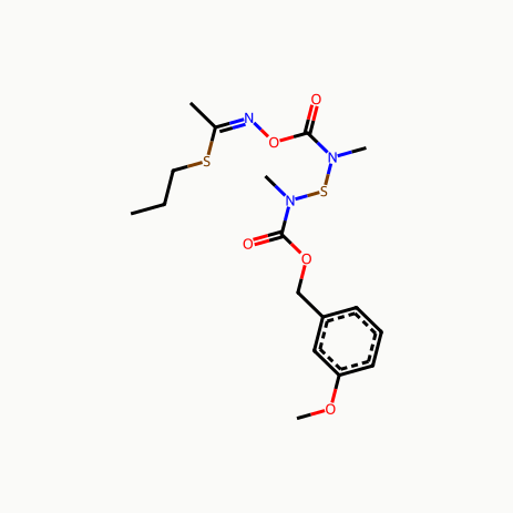 CCCSC(C)=NOC(=O)N(C)SN(C)C(=O)OCc1cccc(OC)c1